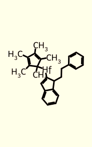 CC1=C(C)[C](C)([Hf][C]2=Cc3ccccc3C2CCc2ccccc2)C(C)=C1C